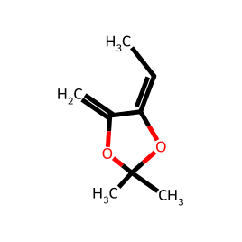 C=C1OC(C)(C)O/C1=C/C